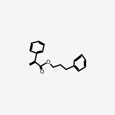 C=C(C(=O)OCCCc1ccccc1)c1ccccc1